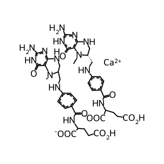 CN1c2c(nc(N)[nH]c2=O)NCC1CNc1ccc(C(=O)NC(CCC(=O)O)C(=O)[O-])cc1.CN1c2c(nc(N)[nH]c2=O)NC[C@@H]1CNc1ccc(C(=O)NC(CCC(=O)O)C(=O)[O-])cc1.[Ca+2]